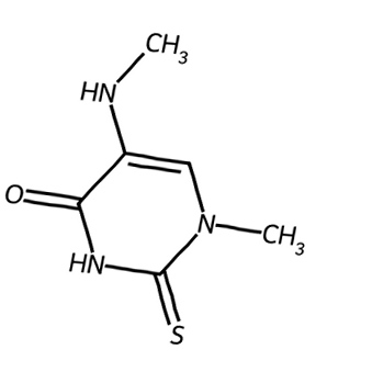 CNc1cn(C)c(=S)[nH]c1=O